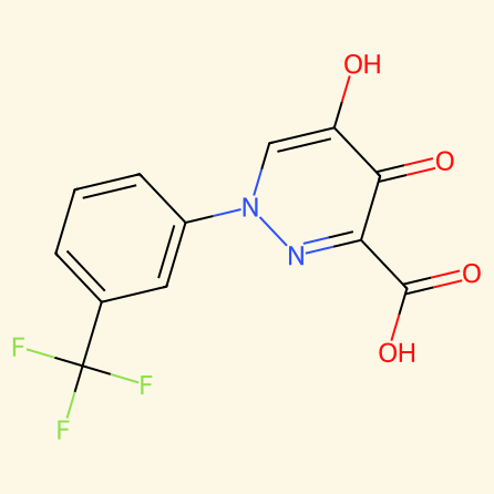 O=C(O)c1nn(-c2cccc(C(F)(F)F)c2)cc(O)c1=O